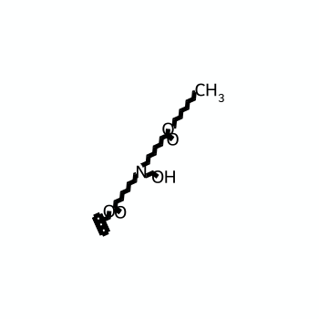 CCCCCCCCCOC(=O)CCCCCCCN(CCO)CCCCCCCC(=O)OCC12C3C4C5C3C1C5C42